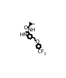 C[C@@H]1CC1C(=O)Nc1c[nH]c2ccc(CCOc3ccc(C(F)(F)F)cc3)cc12